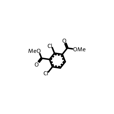 COC(=O)c1ccc(Cl)c(C(=O)OC)c1Cl